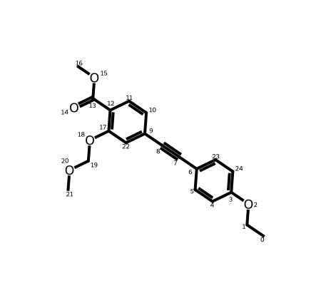 CCOc1ccc(C#Cc2ccc(C(=O)OC)c(OCOC)c2)cc1